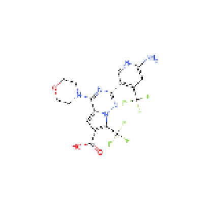 Nc1cc(C(F)(F)F)c(-c2nc(N3CCOCC3)c3cc(C(=O)O)c(C(F)(F)F)n3n2)cn1